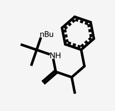 C=C(NC(C)(C)CCCC)C(C)Cc1ccccc1